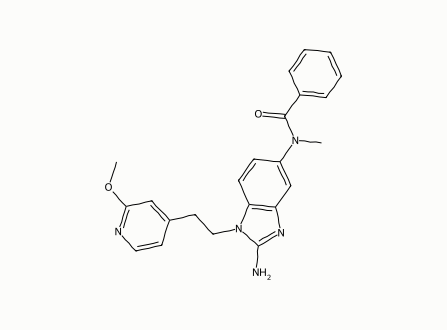 COc1cc(CCn2c(N)nc3cc(N(C)C(=O)c4ccccc4)ccc32)ccn1